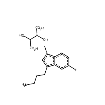 Cn1cc(CCCN)c2cc(F)ccc21.O=C(O)C(O)C(O)C(=O)O